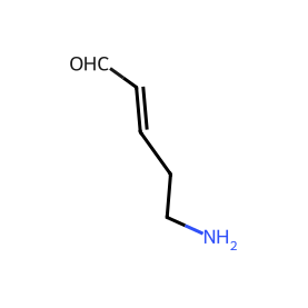 NCCC=CC=O